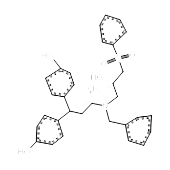 C[C@@H](CC(c1ccc(O)cc1)c1ccc(O)cc1)N(Cc1ccccc1)C[C@H](O)CS(=O)(=O)c1ccccc1